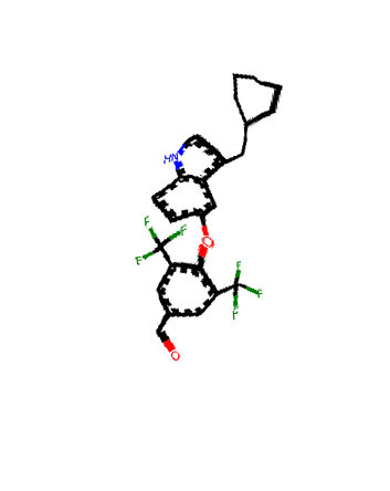 O=Cc1cc(C(F)(F)F)c(Oc2ccc3[nH]cc(CC4CCCCC4)c3c2)c(C(F)(F)F)c1